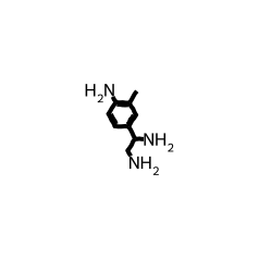 Cc1cc(C(N)CN)ccc1N